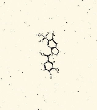 NS(=O)(=O)c1cc2c(cc1Br)CCN2C(=O)c1ccc(Cl)c(Cl)c1